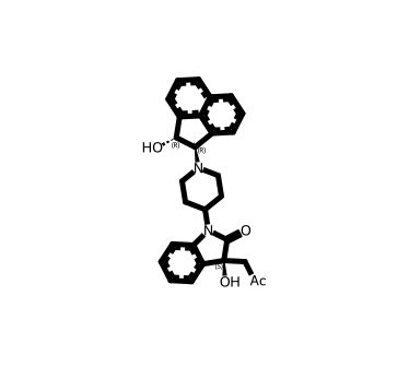 CC(=O)C[C@@]1(O)C(=O)N(C2CCN([C@@H]3c4cccc5cccc(c45)[C@H]3O)CC2)c2ccccc21